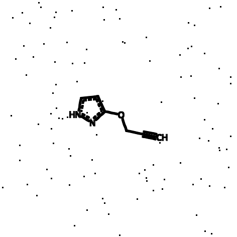 C#CCOc1cc[nH]n1